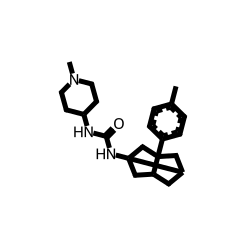 Cc1ccc(C23CC4CC2CC4(NC(=O)NC2CCN(C)CC2)C3)cc1